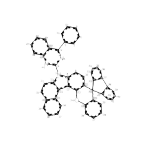 c1ccc(-c2nc(-n3c4ccc5c(c4c4c6ccccc6ccc43)Oc3ccccc3C53c4ccccc4-c4ccccc43)nc3ccccc23)cc1